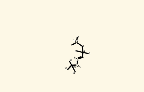 CN(C)CC(C)(C)/C=N/SC(C)(C)C